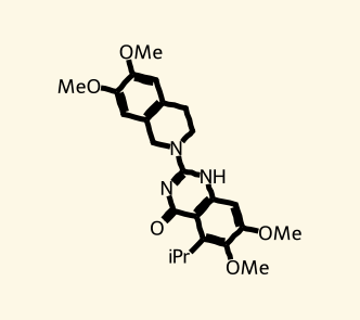 COc1cc2c(cc1OC)CN(c1nc(=O)c3c(C(C)C)c(OC)c(OC)cc3[nH]1)CC2